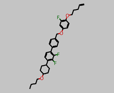 C=CCCCOc1ccc(OCc2ccc(-c3ccc(C4CCC(OCCCC)CC4)c(F)c3F)cc2)cc1F